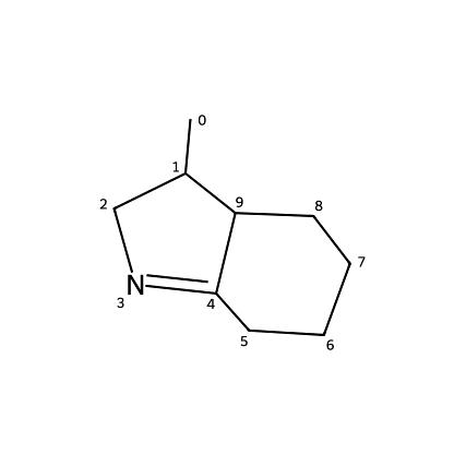 CC1CN=C2CCCCC21